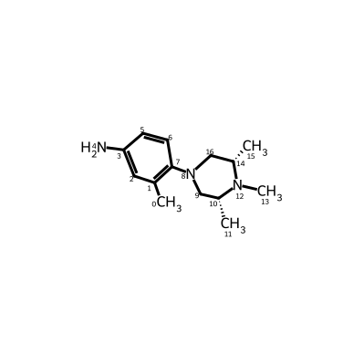 Cc1cc(N)ccc1N1C[C@@H](C)N(C)[C@@H](C)C1